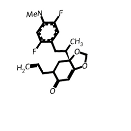 C=CCC1C[C@]2(C(C)Cc3cc(F)c(NC)cc3F)OCOC2=CC1=O